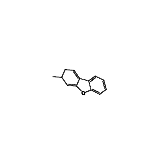 CC1C=c2oc3ccccc3c2=CC1